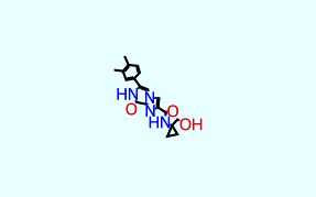 Cc1ccc(-c2cn3cc(C(=O)NC4(CO)CC4)nc3c(=O)[nH]2)cc1C